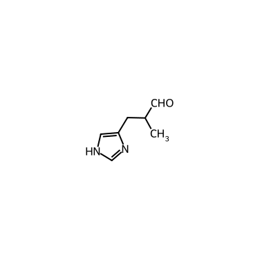 CC(C=O)Cc1c[nH]cn1